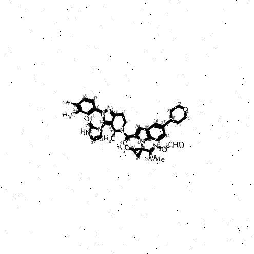 CN/C(=N\OC=O)[C@]1(n2c(C(=O)N3CCc4nn(-c5ccc(F)c(C)c5)c(-n5cc[nH]c5=O)c4[C@@H]3C)cc3cc(C4CCOCC4)ccc32)CC1C